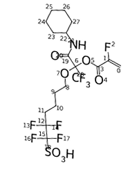 C=C(F)C(=O)OC(OCCCCC(F)(F)C(F)(F)S(=O)(=O)O)(C(=O)NC1CCCCC1)C(F)(F)F